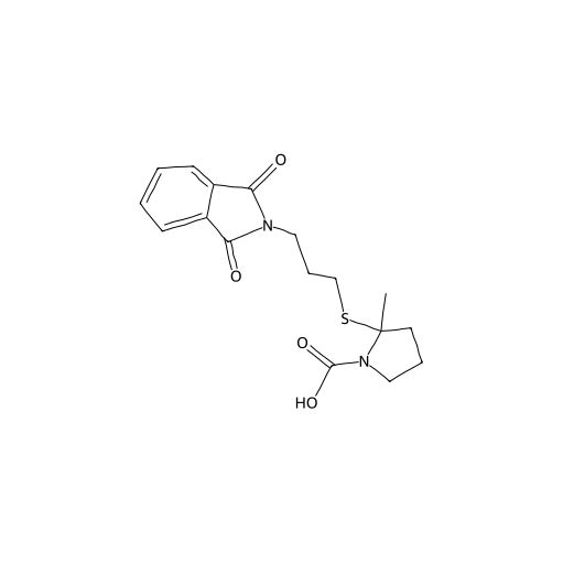 CC1(SCCCN2C(=O)c3ccccc3C2=O)CCCN1C(=O)O